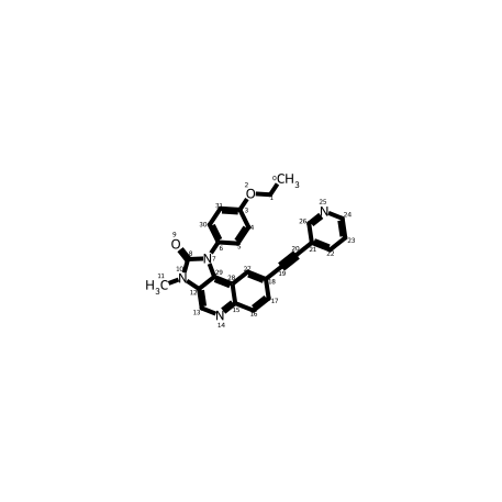 CCOc1ccc(-n2c(=O)n(C)c3cnc4ccc(C#Cc5cccnc5)cc4c32)cc1